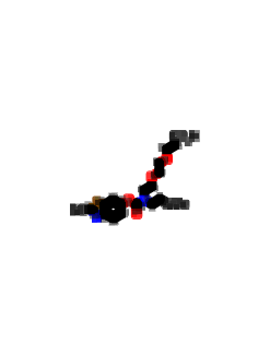 CNCCN(CCOCCOCCC(=O)O)C(=O)Oc1ccc2nc(C#N)sc2c1